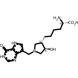 N[C@@H](CCCC[C@H]1CN(Cc2c[nH]c3c(=O)[nH]cnc23)C[C@@H]1O)C(=O)O